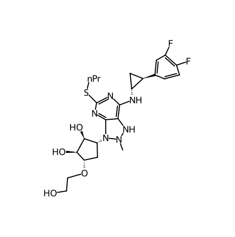 CCCSc1nc(N[C@@H]2C[C@H]2c2ccc(F)c(F)c2)c2c(n1)N([C@@H]1C[C@H](OCCO)[C@@H](O)[C@H]1O)N(C)N2